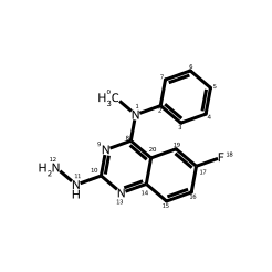 CN(c1ccccc1)c1nc(NN)nc2ccc(F)cc12